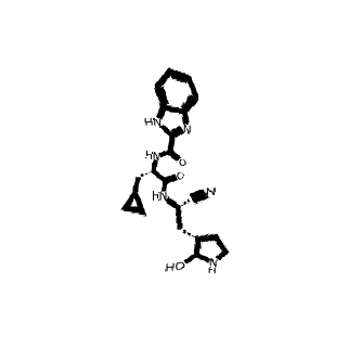 N#C[C@H](C[C@@H]1CCNC1O)NC(=O)[C@H](CC1CC1)NC(=O)c1nc2ccccc2[nH]1